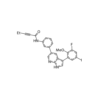 CCC#CC(=O)Nc1cccc(-c2cnc3[nH]cc(-c4cc(I)cc(F)c4OC)c3c2)c1